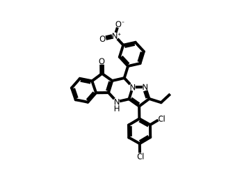 CCc1nn2c(c1-c1ccc(Cl)cc1Cl)NC1=C(C(=O)c3ccccc31)C2c1cccc([N+](=O)[O-])c1